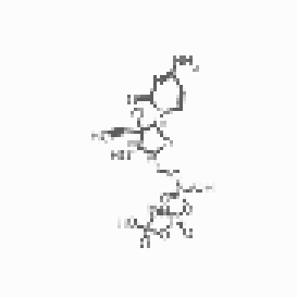 C#CC1(Cl)[C@@H](O)[C@@H](COP(=O)(O)OP(=O)(O)OP(=O)(O)O)O[C@H]1n1ccc(N)nc1=O